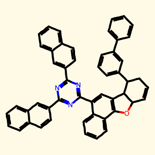 C1=CC2Oc3c(cc(-c4nc(-c5ccc6ccccc6c5)nc(-c5ccc6ccccc6c5)n4)c4ccccc34)C2C(c2cccc(-c3ccccc3)c2)C1